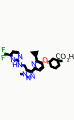 Cn1nnc(-c2ccc(O[C@H]3CCC[C@](C)(C(=O)O)C3)c(C3CC3)n2)c1CNc1nccc(C(F)F)n1